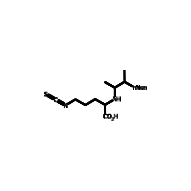 CCCCCCCCCC(C)C(C)NC(CCCN=C=S)C(=O)O